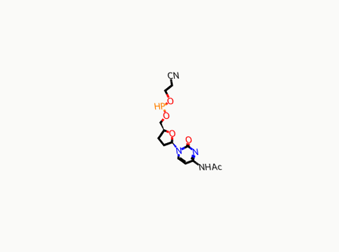 CC(=O)Nc1ccn([C@H]2CC[C@@H](COPOCCC#N)O2)c(=O)n1